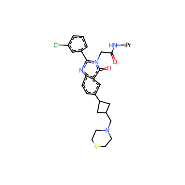 CC(C)NC(=O)Cn1c(-c2cccc(Cl)c2)nc2ccc(C3CC(CN4CCSCC4)C3)cc2c1=O